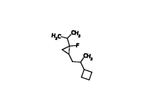 CC(CC1CC1(F)C(C)C)C1CCC1